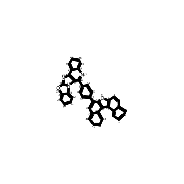 c1ccc2c(c1)ccc1oc3c(-c4ccc(-c5nc6ccccc6c6nc7oc8ccccc8n7c56)cc4)cc4ccccc4c3c12